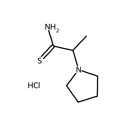 CC(C(N)=S)N1CCCC1.Cl